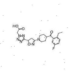 CCc1ccc(F)cc1C(=O)C1CCN(C2=NOC(c3nnn(CC(=O)O)n3)C2)CC1